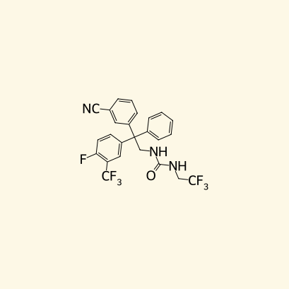 N#Cc1cccc(C(CNC(=O)NCC(F)(F)F)(c2ccccc2)c2ccc(F)c(C(F)(F)F)c2)c1